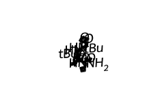 CC(C)(C)C(CN1CCCOC1=O)NC(=O)N[C@H](C(=O)N1CC2C(C1C(=O)NC(CC1CCC1)C(=O)C(N)=O)C2(C)C)C(C)(C)C